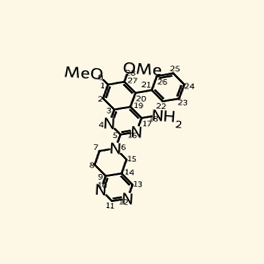 COc1cc2nc(N3CCc4ncncc4C3)nc(N)c2c(-c2ccccc2)c1OC